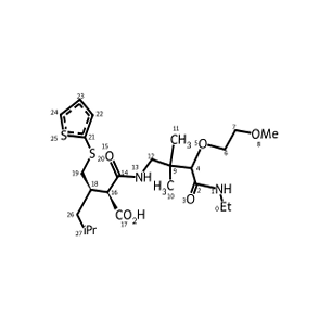 CCNC(=O)C(OCCOC)C(C)(C)CNC(=O)[C@@H](C(=O)O)[C@H](CSc1cccs1)CC(C)C